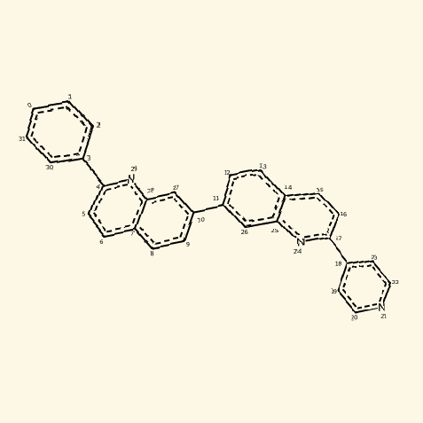 c1ccc(-c2ccc3ccc(-c4ccc5ccc(-c6ccncc6)nc5c4)cc3n2)cc1